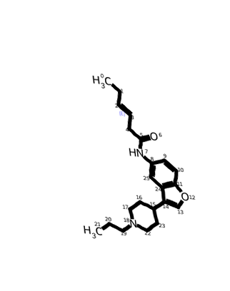 CC/C=C/CC(=O)Nc1ccc2occ(C3CCN(CCC)CC3)c2c1